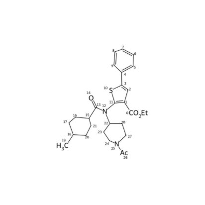 CCOC(=O)c1cc(-c2ccccc2)sc1N(C(=O)C1CCC(C)CC1)C1CCN(C(C)=O)CC1